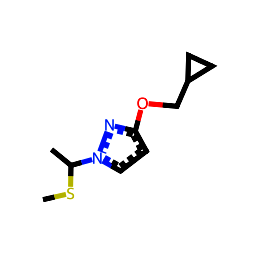 CSC(C)n1ccc(OCC2CC2)n1